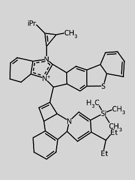 CCC(CC)C1=CC2C3=C(CCC=C3)C3C=C(C4C5C=C6SC7C=CC=CC7C6=CC5c5n(C6=C(C(C)C)C6C)c6c([n+]54)CCC=C6)C3N2C=C1[Si](C)(C)C